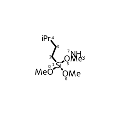 CO[Si](CCC(C)C)(OC)OC.N